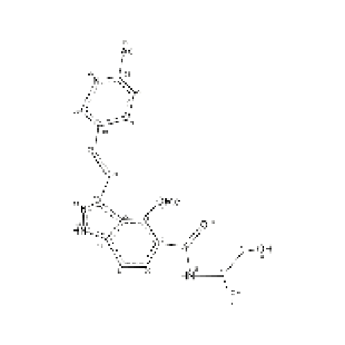 COc1c(C(=O)NC(CO)C(C)C)ccc2[nH]nc(/C=C/c3ccc(C(C)=O)nc3)c12